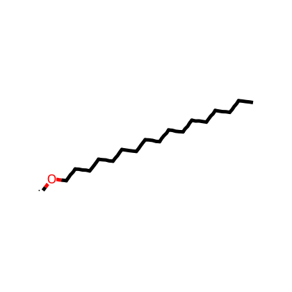 [CH2]OCCCCCCCCCCCCCCCCC